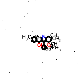 Cc1ccc([C@@H](O)c2c(C(C)C)nc3c(c2C2=CCCC2)[C@@H](O[Si](C)(C)C(C)(C)C)CC(C)(C)C3)cc1